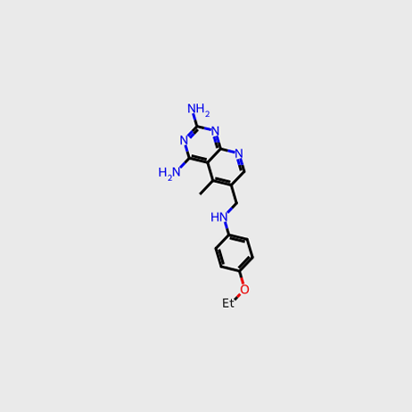 CCOc1ccc(NCc2cnc3nc(N)nc(N)c3c2C)cc1